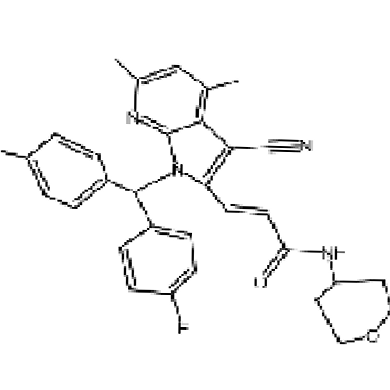 Cc1cc(C)c2c(C#N)c(C=CC(=O)NC3CCOCC3)n(C(c3ccc(F)cc3)c3ccc(F)cc3)c2n1